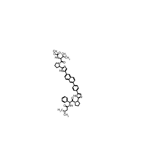 COC(=O)NC(C(=O)N1CCCC1c1ncc(-c2ccc3cc(-c4ccc(-c5cnc(C6CCCN6C(=O)C(NC(=O)CN(C)C)c6ccccc6)[nH]5)cc4)ccc3c2)[nH]1)C(C)C